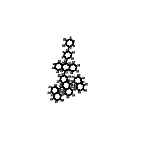 c1ccc(-c2ccc(-c3c4ccccc4c(-c4ccc5c(-c6cccc7ccccc67)c6ccccc6c(-c6cccc7ccccc67)c5c4)c4ccccc34)cc2)cc1